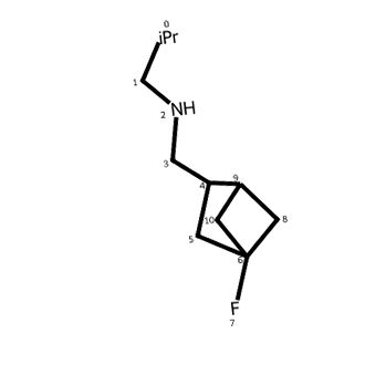 CC(C)CNCC1CC2(F)CC1C2